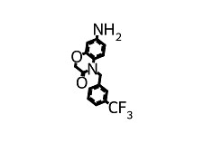 Nc1ccc2c(c1)OCC(=O)N2Cc1cccc(C(F)(F)F)c1